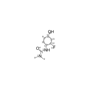 CN(C)C(=O)Nc1ccc(O)cc1F